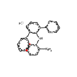 Cl.Nc1ccccc1Nc1c(-c2ccccc2)cccc1-c1ccccc1